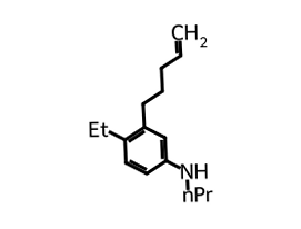 C=CCCCc1cc(NCCC)ccc1CC